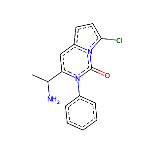 CC(N)c1cc2ccc(Cl)n2c(=O)n1-c1ccccc1